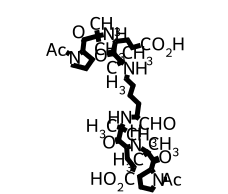 CC(=O)N1CCCC1C(=O)C(C)(C)NC(CCC(=O)O)C(=O)C(C)(C)NCCCCC(C=O)NC(C)(C)C(=O)C(CCC(=O)O)NC(C)(C)C(=O)C1CCCN1C(C)=O